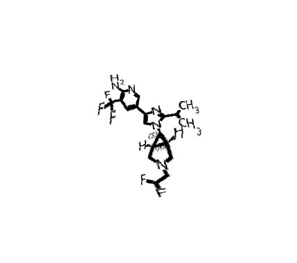 CC(C)c1nc(-c2cnc(N)c(C(F)(F)F)c2)cn1[C@H]1[C@@H]2CN(CC(F)F)C[C@@H]21